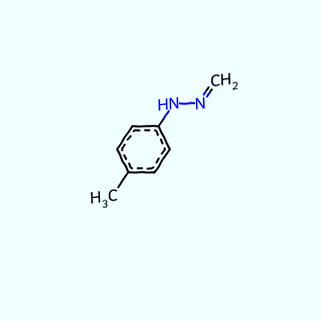 C=NNc1ccc(C)cc1